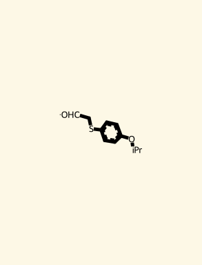 CC(C)Oc1ccc(SC[C]=O)cc1